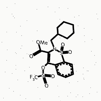 COC(=O)C1=C(OS(=O)(=O)C(F)(F)F)c2ccccc2S(=O)(=O)N1CC1CCCCC1